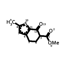 COC(=O)C1CCc2cc(C)sc2C1=O